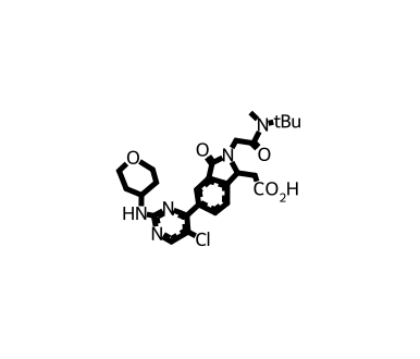 CN(C(=O)CN1C(=O)c2cc(-c3nc(NC4CCOCC4)ncc3Cl)ccc2C1CC(=O)O)C(C)(C)C